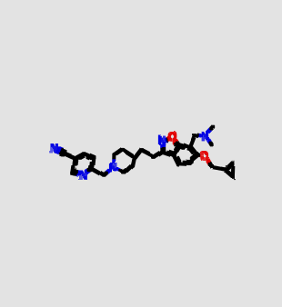 CN(C)Cc1c(OCC2CC2)ccc2c(CCC3CCN(Cc4ccc(C#N)cn4)CC3)noc12